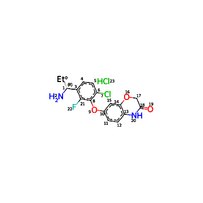 CC[C@@H](N)c1ccc(Cl)c(Oc2ccc3c(c2)OCC(=O)N3)c1F.Cl